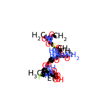 C=CC(=O)N1CN(C(=O)C=C)CN(C(=O)CCSCC(=O)N[C@@H](C(=C)C)C(=O)N[C@@H](CCCNC(N)=O)C(=O)Nc2ccc(COC(=O)N[C@H]3CCc4c(C)c(F)cc5nc6c(c3c45)Cn3c-6cc4c(c3=O)COC(=O)[C@]4(O)CC)cc2)C1